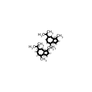 Cc1ccc(C(C)C)cc2c(C)ccc1-2.Cc1ccc(C(C)C)cc2c(C)ccc1-2